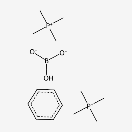 C[P+](C)(C)C.C[P+](C)(C)C.[O-]B([O-])O.c1ccccc1